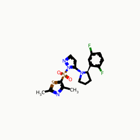 Cc1nc(C)c(S(=O)(=O)n2nccc2N2CCC[C@@H]2c2cc(F)ccc2F)s1